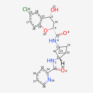 O=C(N[C@@H]1CC2(NC(=O)[C@H]3C[C@@H](O)c4cc(Cl)ccc4O3)CC1C2)c1ccccn1